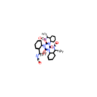 CCCC(N=C=O)C1CCCCC1n1c(=O)n(C2CCCCC2C(CCC)N=C=O)c(=O)n(C2CCCCC2C(CCC)N=C=O)c1=O